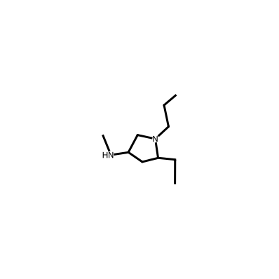 CCCN1CC(NC)CC1CC